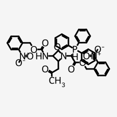 CC(=O)CC1C(NC(=O)OCc2ccccc2[N+](=O)[O-])C(=O)N1C(C(=O)OCc1ccccc1[N+](=O)[O-])[PH](c1ccccc1)(c1ccccc1)c1ccccc1